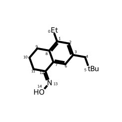 CCc1cc(CC(C)(C)C)cc2c1CCC/C2=N\O